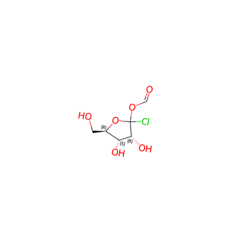 O=COC1(Cl)O[C@H](CO)[C@@H](O)[C@H]1O